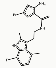 C=C(NCCc1c(C)[nH]c2c(F)ccc(C)c12)c1sc(Br)cc1N